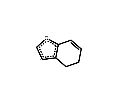 [c]1coc2c1CCC=C2